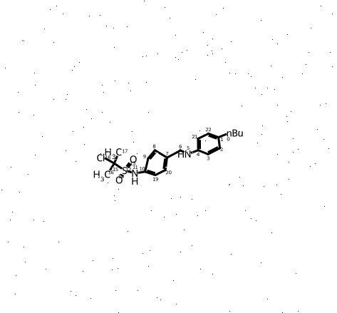 CCCCc1ccc(NCc2ccc(NS(=O)(=O)C(C)(C)Cl)cc2)cc1